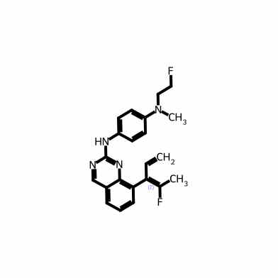 C=C/C(=C(\C)F)c1cccc2cnc(Nc3ccc(N(C)CCF)cc3)nc12